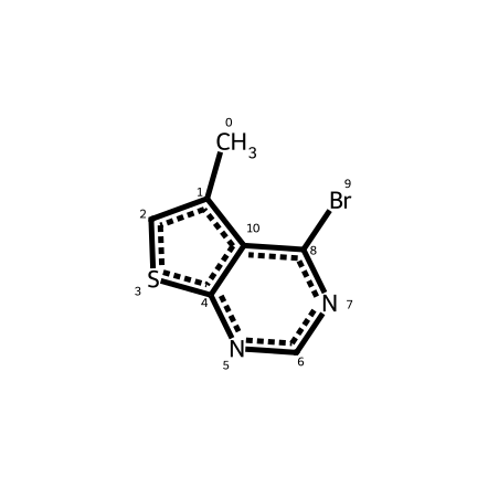 Cc1csc2ncnc(Br)c12